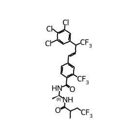 CC(CC(F)(F)F)C(=O)N[C@@H](C)NC(=O)c1ccc(C=CC(c2cc(Cl)c(Cl)c(Cl)c2)C(F)(F)F)cc1C(F)(F)F